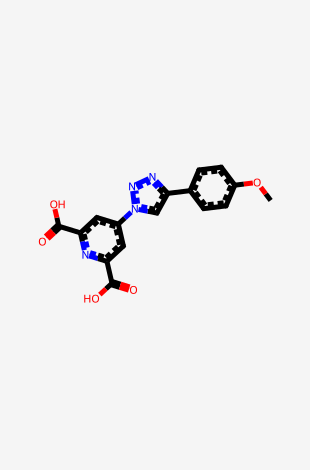 COc1ccc(-c2cn(-c3cc(C(=O)O)nc(C(=O)O)c3)nn2)cc1